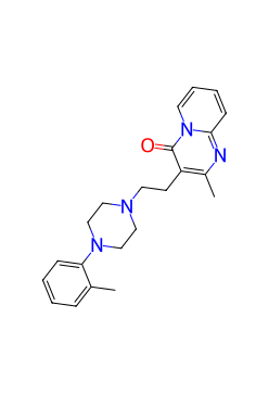 Cc1ccccc1N1CCN(CCc2c(C)nc3ccccn3c2=O)CC1